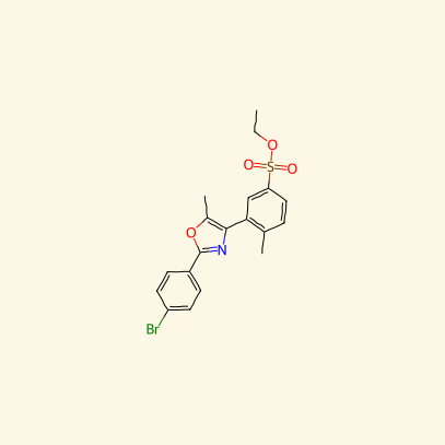 CCOS(=O)(=O)c1ccc(C)c(-c2nc(-c3ccc(Br)cc3)oc2C)c1